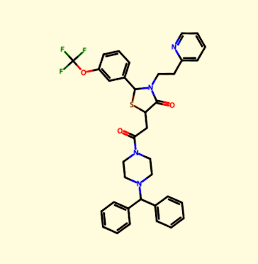 O=C(CC1SC(c2cccc(OC(F)(F)F)c2)N(CCc2ccccn2)C1=O)N1CCN(C(c2ccccc2)c2ccccc2)CC1